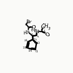 CC(=O)NCC(NC(=O)CBr)c1ccccc1